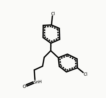 [O]=[SnH][CH2]CCC(c1ccc(Cl)cc1)c1ccc(Cl)cc1